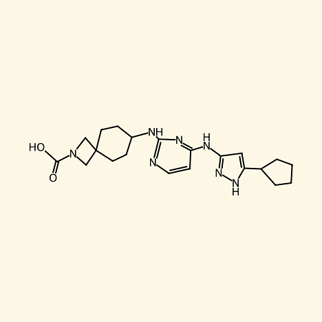 O=C(O)N1CC2(CCC(Nc3nccc(Nc4cc(C5CCCC5)[nH]n4)n3)CC2)C1